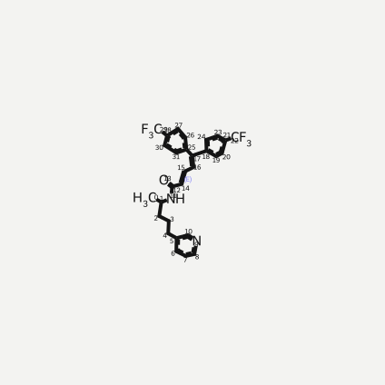 CC(CCCc1cccnc1)NC(=O)/C=C/C=C(c1ccc(C(F)(F)F)cc1)c1ccc(C(F)(F)F)cc1